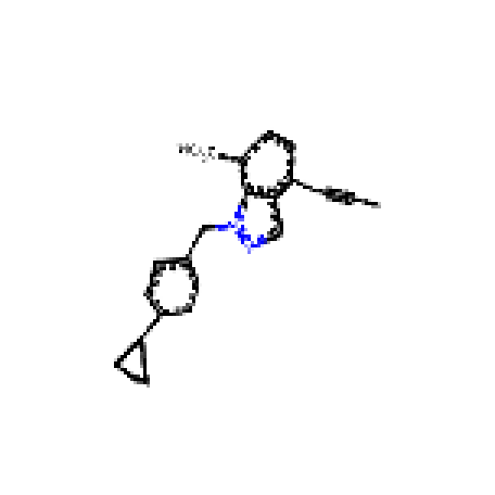 CC#Cc1ccc(C(=O)O)c2c1cnn2Cc1ccc(C2CC2)cc1